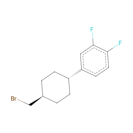 Fc1ccc([C@H]2CC[C@H](CBr)CC2)cc1F